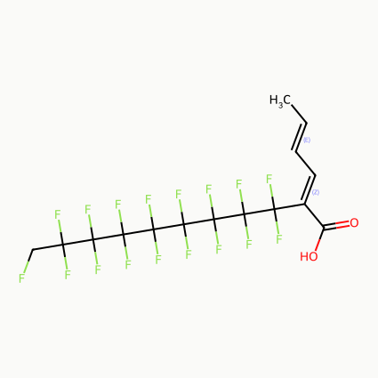 C/C=C/C=C(/C(=O)O)C(F)(F)C(F)(F)C(F)(F)C(F)(F)C(F)(F)C(F)(F)C(F)(F)C(F)(F)CF